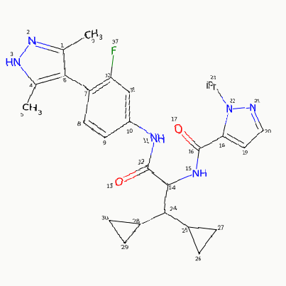 Cc1n[nH]c(C)c1-c1ccc(NC(=O)C(NC(=O)c2ccnn2C(C)C)C(C2CC2)C2CC2)cc1F